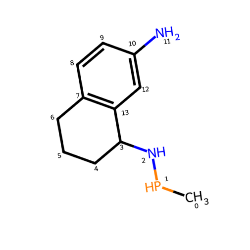 CPNC1CCCc2ccc(N)cc21